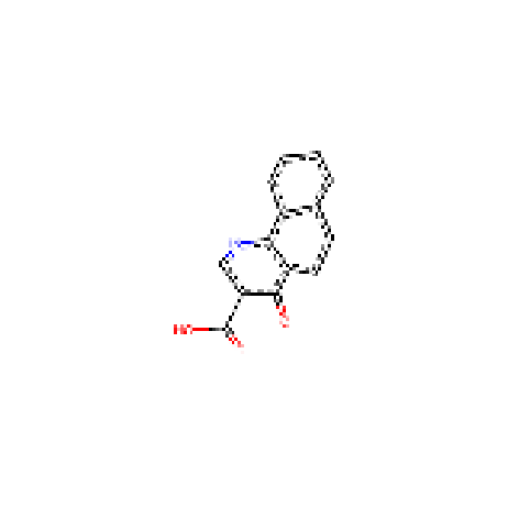 O=C(O)c1c[nH]c2c(ccc3ccccc32)c1=O